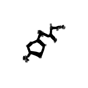 [CH2]c1ccc(NC(=O)OC)cc1